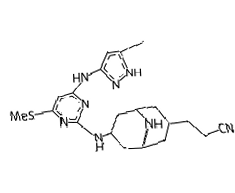 CSc1cc(Nc2cc(C)[nH]n2)nc(NC2CC3CC(CCC#N)CC(C2)N3)n1